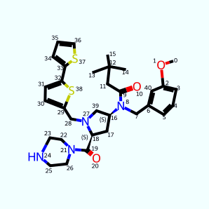 COc1cccc(CN(C(=O)CC(C)(C)C)[C@H]2C[C@@H](C(=O)N3CCNCC3)N(Cc3ccc(-c4cccs4)s3)C2)c1